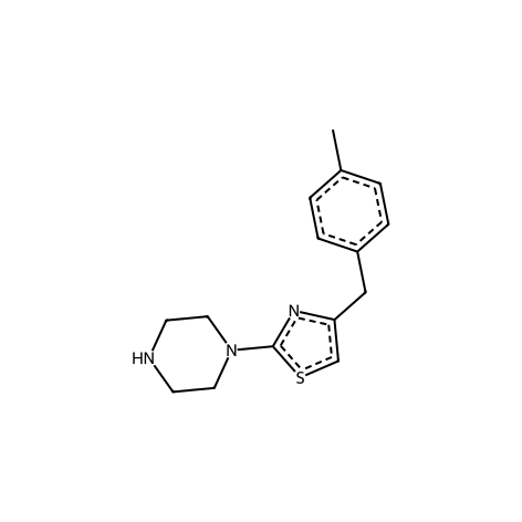 Cc1ccc(Cc2csc(N3CCNCC3)n2)cc1